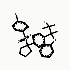 CC(Oc1ccccc1)(c1ccc(C2(S(=O)(=O)c3ccc(F)cc3)CCCC2)cc1)C(F)(F)F